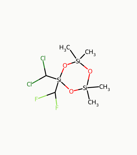 C[Si]1(C)O[Si](C)(C)O[Si](C(F)F)(C(Cl)Cl)O1